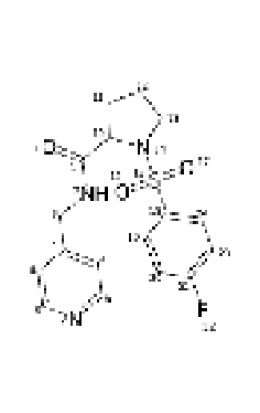 O=C(NCc1ccncc1)C1CCCN1S(=O)(=O)c1ccc(F)cc1